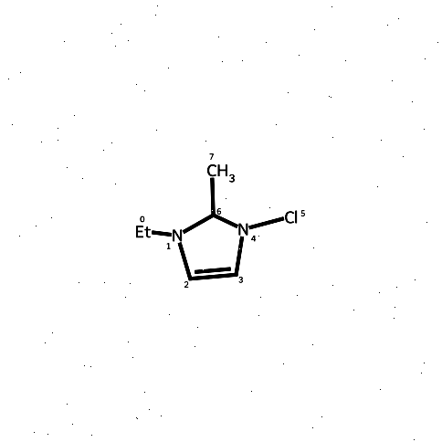 CCN1C=CN(Cl)C1C